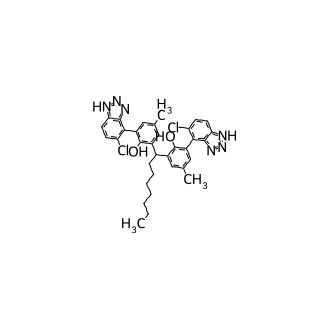 CCCCCCCC(c1cc(C)cc(-c2c(Cl)ccc3[nH]nnc23)c1O)c1cc(C)cc(-c2c(Cl)ccc3[nH]nnc23)c1O